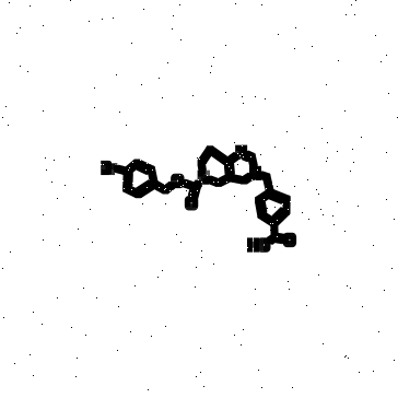 O=C(O)c1ccc(CN2C=NC3=C(C2)CN(C(=O)OCc2ccc(Br)cc2)CC3)cc1